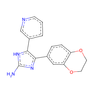 Nc1nc(-c2ccc3c(c2)OCCO3)c(-c2cccnc2)[nH]1